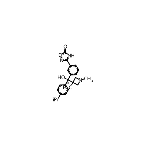 CC(C)c1ccc([C@](O)(c2cccc(-c3noc(=O)[nH]3)c2)C2(C)CN(C)C2)cc1